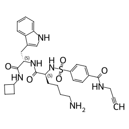 C#CCNC(=O)c1ccc(S(=O)(=O)N[C@@H](CCCCN)C(=O)N[C@@H](Cc2c[nH]c3ccccc23)C(=O)NC2CCC2)cc1